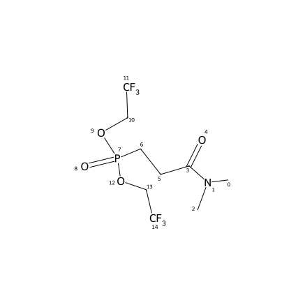 CN(C)C(=O)CCP(=O)(OCC(F)(F)F)OCC(F)(F)F